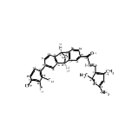 Cc1cc(N)nc(C)c1CNC(=O)c1ccc2c(c1)[C@@H]1O[C@H]2c2ccc(-c3ccc(Cl)c(F)c3F)cc21